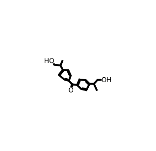 CC(CO)c1ccc(C(=O)c2ccc(C(C)CO)cc2)cc1